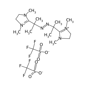 CN1CC[N+](C)=C1C(C)(C)N=NC(C)(C)C1=[N+](C)CCN1C.O=S(=O)([O-])C(F)(F)F.O=S(=O)([O-])C(F)(F)F